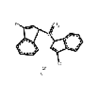 [CH2]=[Zr+2]([CH]1C=C(CC)c2ccccc21)[CH]1C=C(CC)c2ccccc21.[Cl-].[Cl-]